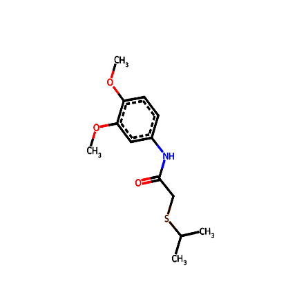 COc1ccc(NC(=O)CSC(C)C)cc1OC